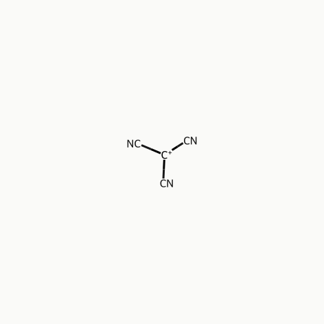 N#C[C+](C#N)C#N